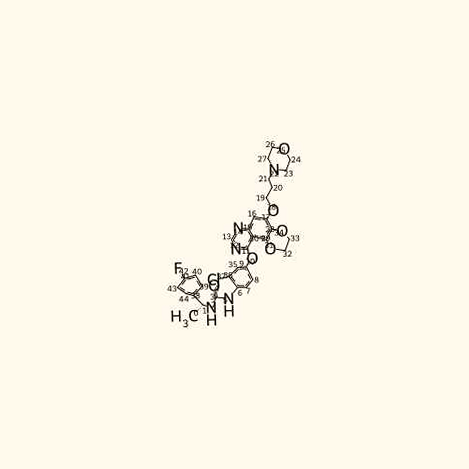 C[C@@H](NC(=O)Nc1ccc(Oc2ncnc3cc(OCCCN4CCOCC4)c4c(c23)OCCO4)cc1Cl)c1ccc(F)cc1